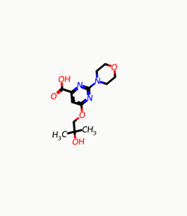 CC(C)(O)COc1cc(C(=O)O)nc(N2CCOCC2)n1